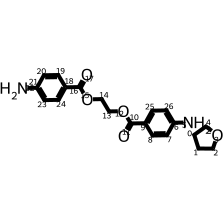 C1CCOC1.Nc1ccc(C(=O)OCCOC(=O)c2ccc(N)cc2)cc1